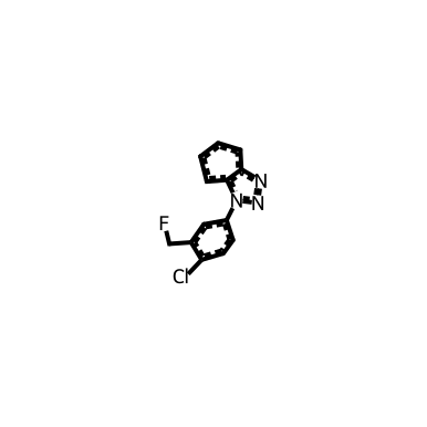 FCc1cc(-n2nnc3ccccc32)ccc1Cl